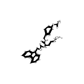 CSCCC(NC(=O)OCC1c2ccccc2-c2ccccc21)C(=O)NCc1ccc(OC(N)=O)cc1